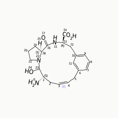 N[C@H]1C/C=C\Cc2cccc(c2)C[C@H](C(=O)O)NC(=O)[C@@H]2CCCN2C1O